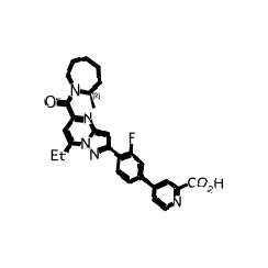 CCc1cc(C(=O)N2CCCCC[C@H]2C)nc2cc(-c3ccc(-c4ccnc(C(=O)O)c4)cc3F)nn12